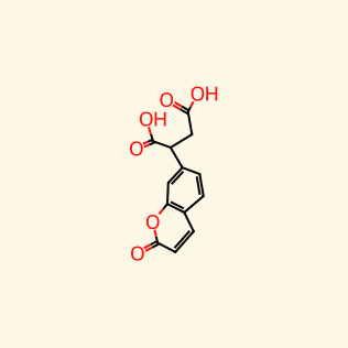 O=C(O)CC(C(=O)O)c1ccc2ccc(=O)oc2c1